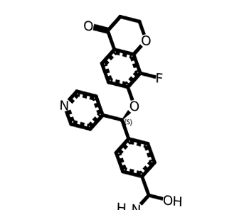 NC(O)c1ccc([C@H](Oc2ccc3c(c2F)OCCC3=O)c2ccncc2)cc1